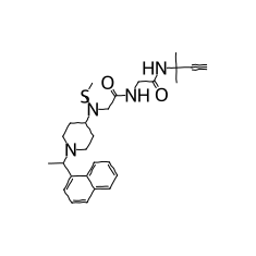 C#CC(C)(C)NC(=O)CNC(=O)CN(SC)C1CCN(C(C)c2cccc3ccccc23)CC1